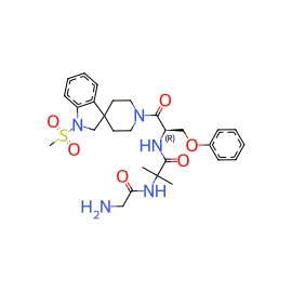 CC(C)(NC(=O)CN)C(=O)N[C@H](COc1ccccc1)C(=O)N1CCC2(CC1)CN(S(C)(=O)=O)c1ccccc12